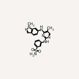 Cc1cnc(Nc2cccc(S(N)(=O)=O)c2)nc1Nc1ccc2cnn(C)c2c1